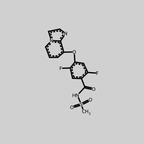 CS(=O)(=O)NC(=O)c1cc(F)c(Oc2cccn3ccnc23)cc1F